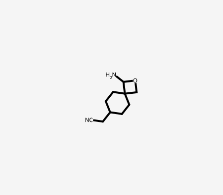 N#CC[C]1CCC2(CC1)COC2N